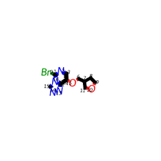 Brc1ncc(OCC2CCOC2)c2nncn12